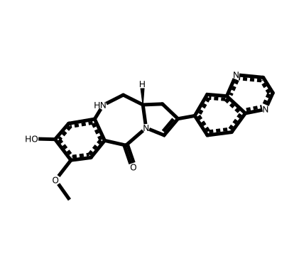 COc1cc2c(cc1O)NC[C@@H]1CC(c3ccc4nccnc4c3)=CN1C2=O